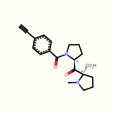 C#Cc1ccc(C(=O)N2CCC[C@H]2C(=O)[C@@]2(C(=O)O)CCCN2C)cc1